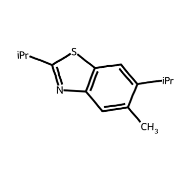 Cc1cc2nc(C(C)C)sc2cc1C(C)C